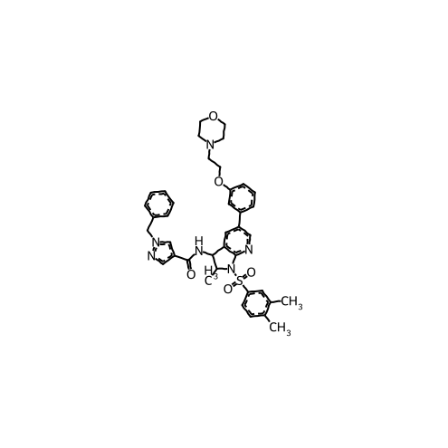 Cc1ccc(S(=O)(=O)N2c3ncc(-c4cccc(OCCN5CCOCC5)c4)cc3C(NC(=O)c3cnn(Cc4ccccc4)c3)C2C)cc1C